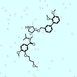 COCCCOc1cc(C(=O)N(C[C@@H]2CNC[C@H]2OCc2cccc(-c3cccc(OC)c3OC)c2)C(C)C)ccc1OC